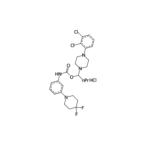 CCCC(OC(=O)Nc1cccc(N2CCC(F)(F)CC2)c1)N1CCN(c2cccc(Cl)c2Cl)CC1.Cl